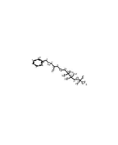 FC(COCc1ccccc1)COCC(F)(F)C(F)(F)COC(F)(F)C(F)(F)F